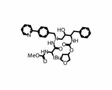 COC(=O)NC(C(=O)NN(Cc1ccc(-c2ccccn2)cc1)CC(O)C(Cc1ccccc1)NC(=O)OC1CCOC1)C(C)(C)C